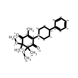 COC1(C)C(=O)C(C)=C(N2CCC(c3ccccc3)CC2)C(=O)C1(C)OC